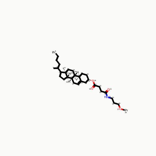 CC(C)CCCC(C)C1CC[C@H]2[C@@H]3CC=C4C[C@@H](OC(=O)CCC(=O)NCCCOC(C)C)CC[C@]4(C)[C@H]3CC[C@]12C